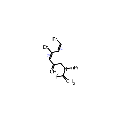 C=C(/C=C(\C=C/C(C)C)CC)CN(CCC)C(=C)I